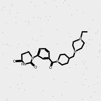 CCN1CCN(CC2CCN(C(=O)c3cccc(N4CCC(=O)NC4=O)c3)CC2)CC1